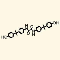 CC(C)(c1ccc(O)cc1)c1ccc(NC(=O)C(=O)Nc2ccc(C(C)(C)c3ccc(O)cc3)cc2)cc1